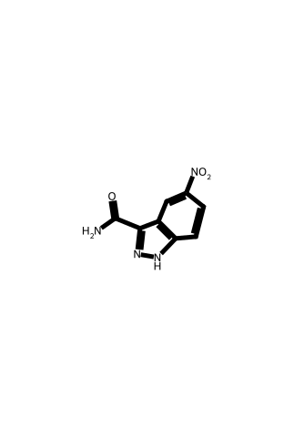 NC(=O)c1n[nH]c2ccc([N+](=O)[O-])cc12